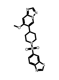 COc1cc2ncnn2cc1C1CCN(S(=O)(=O)c2ccc3ncsc3c2)CC1